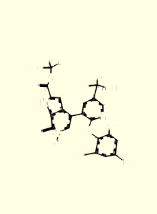 Cc1cc(F)cc(Cl)c1Oc1ncc(C(C)(C)O)cc1-c1cn(C)c(=O)c2[nH]c(C(=O)NC(C)(C)C)cc12